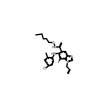 C=CCn1cnc2cc(C(=C)NOCCCCC)c(Nc3ccc(Cl)cc3C)c(F)c21